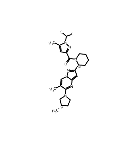 Cc1cn2nc([C@@H]3CCCCN3C(=O)c3cc(C)n(C(F)F)n3)cc2nc1N1CC[C@H](C)C1